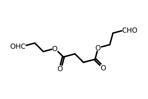 O=CCCOC(=O)CCC(=O)OCCC=O